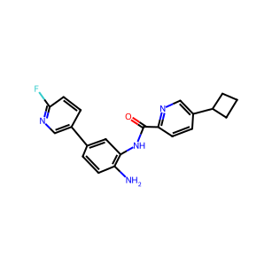 Nc1ccc(-c2ccc(F)nc2)cc1NC(=O)c1ccc(C2CCC2)cn1